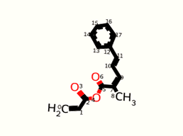 C=CC(=O)OC(=O)C(C)=CC=Cc1ccccc1